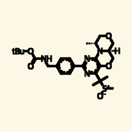 C[C@@H]1COC[C@H]2COc3c(nc(-c4ccc(CNC(=O)OC(C)(C)C)cc4)nc3C(C)(C)[S+](C)[O-])N21